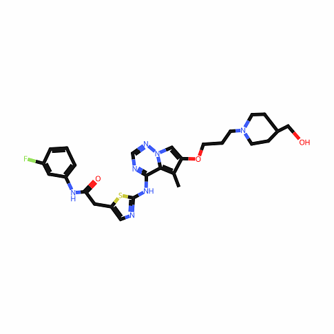 Cc1c(OCCCN2CCC(CO)CC2)cn2ncnc(Nc3ncc(CC(=O)Nc4cccc(F)c4)s3)c12